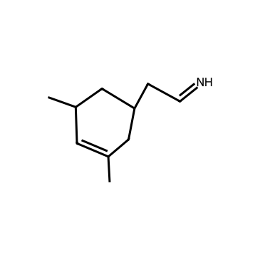 CC1=CC(C)CC(CC=N)C1